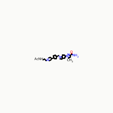 CC(=O)NCCCN1CCC(c2ccc(Cn3ccc4cc(-n5nc(C(N)=O)cc5C)ccc43)cc2)CC1